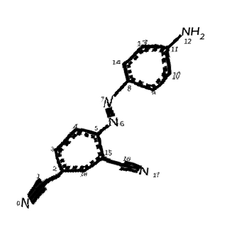 N#Cc1ccc(N=Nc2ccc(N)cc2)c(C#N)c1